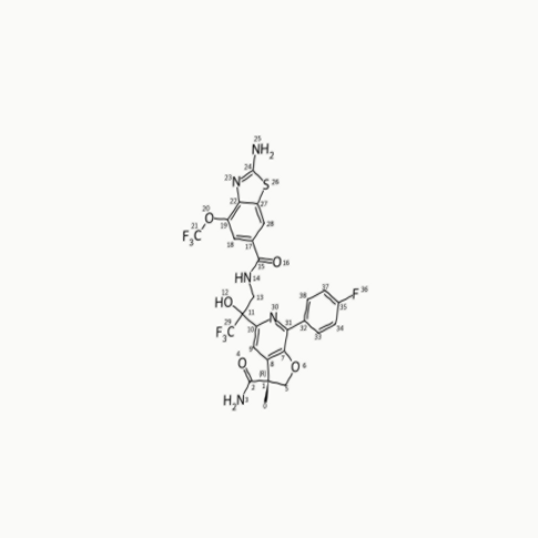 C[C@]1(C(N)=O)COc2c1cc(C(O)(CNC(=O)c1cc(OC(F)(F)F)c3nc(N)sc3c1)C(F)(F)F)nc2-c1ccc(F)cc1